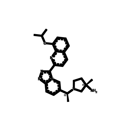 CC(C)Oc1cccc2ccc(-c3nnc4ccc([C@H](C)N5CC[C@](C)(N)C5)cn34)nc12